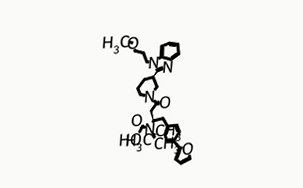 COCCCn1c([C@@H]2CCCN(C(=O)C[C@@H](Cc3ccc(-c4ccco4)cc3)N(C(=O)O)C(C)(C)C)C2)nc2ccccc21